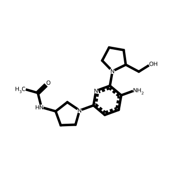 CC(=O)NC1CCN(c2ccc(N)c(N3CCCC3CO)n2)C1